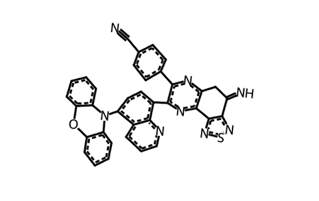 N#Cc1ccc(-c2nc3c(nc2-c2ccc(N4c5ccccc5Oc5ccccc54)c4cccnc24)-c2nsnc2C(=N)C3)cc1